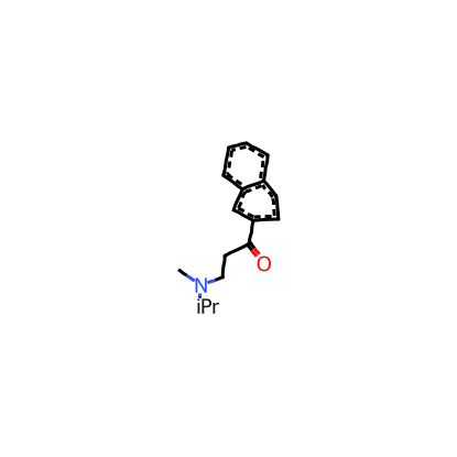 CC(C)N(C)CCC(=O)c1ccc2ccccc2c1